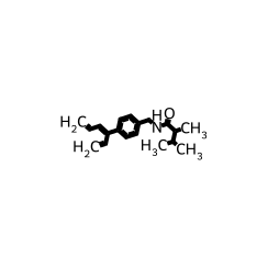 C=C/C=C(\C=C)c1ccc(CNC(=O)C(C)C(C)C)cc1